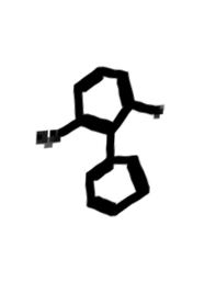 Nc1cccc(F)c1-c1ccccc1